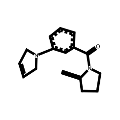 C=C1CCCN1C(=O)c1cccc(N2CC=CC2)c1